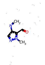 C=Nc1cnn(C)c1C=O